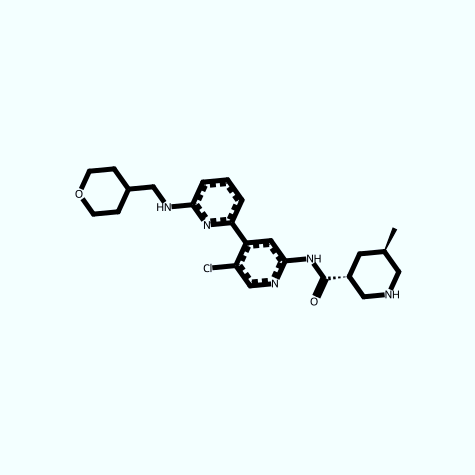 C[C@H]1CNC[C@H](C(=O)Nc2cc(-c3cccc(NCC4CCOCC4)n3)c(Cl)cn2)C1